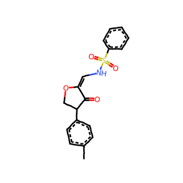 Cc1ccc(C2COC(=CNS(=O)(=O)c3ccccc3)C2=O)cc1